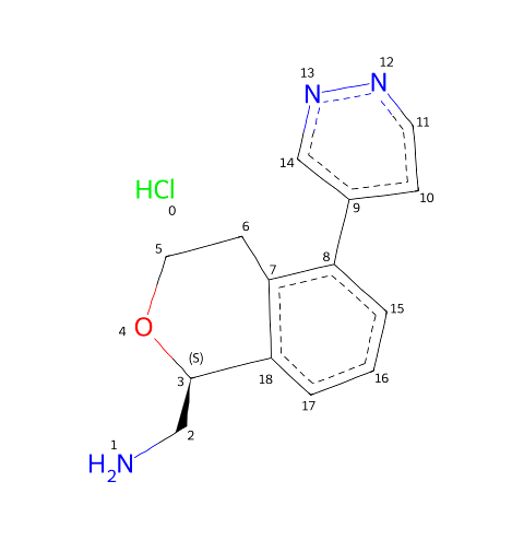 Cl.NC[C@H]1OCCc2c(-c3ccnnc3)cccc21